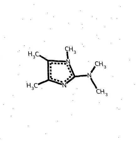 Cc1nc(N(C)C)n(C)c1C